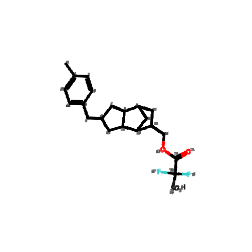 Cc1ccc(CC2CC3C4CC(COC(=O)C(F)(F)S(=O)(=O)O)C(C4)C3C2)cc1